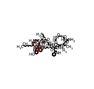 CC[C@H](C)[C@@H]1NC(=O)[C@@H](NCC(C=O)(Cc2c[nH]c3ccccc23)NC(=O)[C@@H](CCCN)NC(=O)CNC(=O)[C@H](CCCN)NC(=O)[C@@H](CCCN)NC(=O)[C@@H](Cc2c[nH]c3ccccc23)NC(=O)[C@@H](Cc2ccc(O)cc2)NC(=O)[C@@H](CC(N)=O)NC(=O)CCCCCC(C)C)[C@@H](C)OC(=O)CNC(=O)CNC(=O)[C@H](CC(N)=O)NC1=O